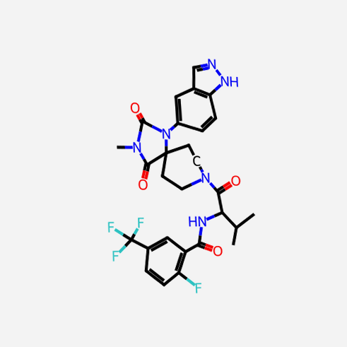 CC(C)C(NC(=O)c1cc(C(F)(F)F)ccc1F)C(=O)N1CCC2(CC1)C(=O)N(C)C(=O)N2c1ccc2[nH]ncc2c1